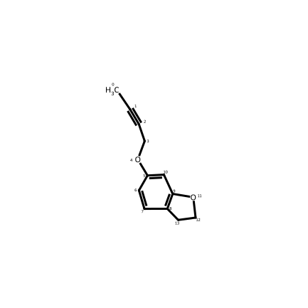 CC#CCOc1ccc2c(c1)OCC2